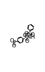 O=P(=O)c1ccc(S(=O)(=O)NS(=O)(=O)c2ccccc2)cc1